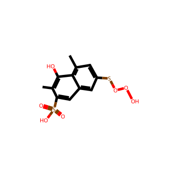 Cc1c(S(=O)(=O)O)cc2cc(SOOO)cc(C)c2c1O